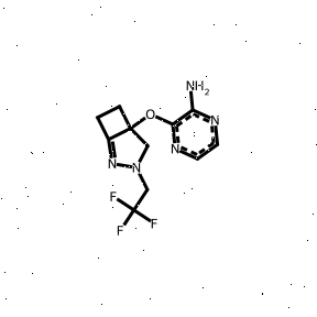 Nc1nccnc1OC12CCC1=NN(CC(F)(F)F)C2